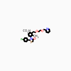 Cc1c(N2C(=O)CSC2c2ccc(F)cc2)ccc(C(=O)O)c1CCOCCOCc1ccccn1